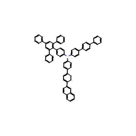 C1=C(c2ccc(N(c3ccc(-c4ccc(-c5ccccc5)cc4)cc3)c3ccc(-c4c(-c5ccccc5)cc(-c5ccccc5)cc4-c4ccccc4)cc3)cc2)CCC(c2ccc3ccccc3c2)=C1